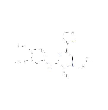 C=C1C(Nc2ccc(OC)c(OC)c2)=NC(c2cccs2)=CN1/C=C\C